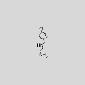 NCCNCc1ccc(Cl)cn1